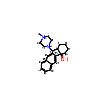 CN1CCN(CC2C[CH]CCC2(O)c2ccc3ccccc3c2)CC1